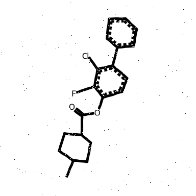 CC1CCC(C(=O)Oc2ccc(-c3ccccc3)c(Cl)c2F)CC1